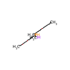 CCCCCCCCCCCCCCCCCCCCCC(CC)PC(CC)CCCCCCCCCCCCCCCCCCCCC.I